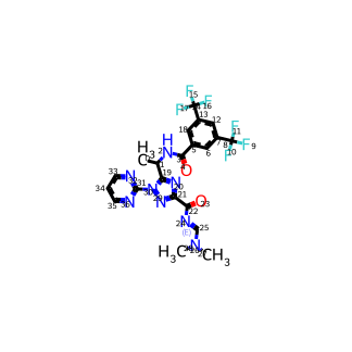 CC(NC(=O)c1cc(C(F)(F)F)cc(C(F)(F)F)c1)c1nc(C(=O)/N=C/N(C)C)nn1-c1ncccn1